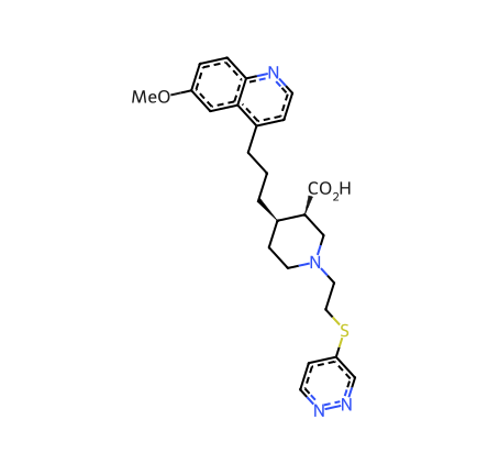 COc1ccc2nccc(CCC[C@@H]3CCN(CCSc4ccnnc4)C[C@@H]3C(=O)O)c2c1